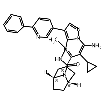 CCNC(=O)N1[C@@H]2CC[C@H]1C[C@@H](c1nc3c(-c4ccc(-c5ccccc5)nc4)cnn3c(N)c1C1CC1)C2